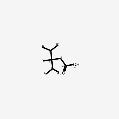 CC(C)C(C)(CC(=O)O)C(C)C